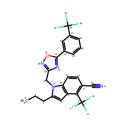 CCCc1cc2c(C(F)(F)F)c(C#N)ccc2n1Cc1noc(-c2cccc(C(F)(F)F)c2)n1